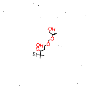 C=C(CO)OCOCCC(OO)C(C)(C)CC